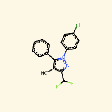 N#Cc1c(C(F)F)nn(-c2ccc(Cl)cc2)c1-c1ccccc1